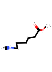 [C-]#[N+]CCCCCC(=O)OC